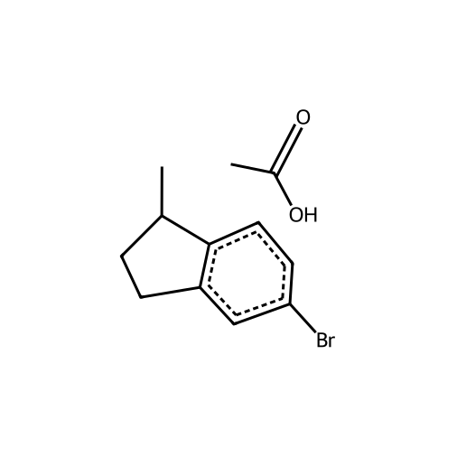 CC(=O)O.CC1CCc2cc(Br)ccc21